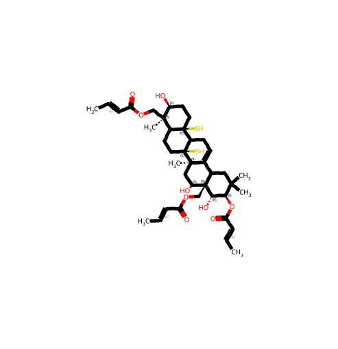 C/C=C/C(=O)OC[C@@]12C(CC(C)(C)[C@@H](OC(=O)/C=C/C)[C@@H]1O)C1=CCC3[C@@]4(S)CC[C@H](O)[C@](C)(COC(=O)/C=C/C)C4CC[C@@]3(S)[C@]1(C)C[C@H]2O